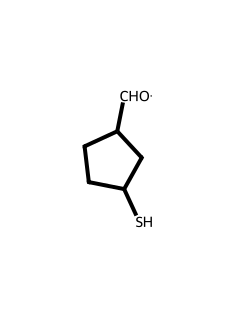 O=[C]C1CCC(S)C1